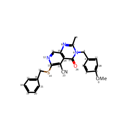 COc1ccc(Cn2c(C)nc3cnc(SCc4ccccc4)c(C#N)c3c2=O)cc1